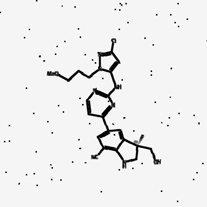 COCCCn1nc(Cl)cc1Nc1nccc(-c2cc(C#N)c3c(c2)[C@@](C)(CO)CN3)n1